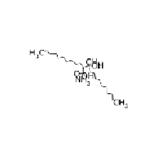 CCCCCCCCCCC(C(=O)O)C(C)(O)CCCCCCCCCC.N